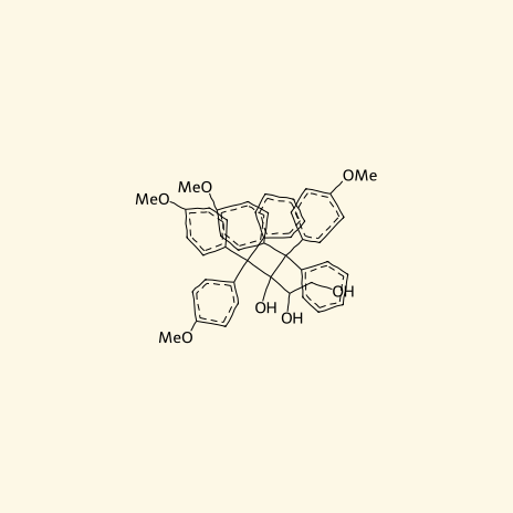 COc1ccc(C(c2ccccc2)(c2ccc(OC)cc2)C(O)(C(O)CO)C(c2ccccc2)(c2ccc(OC)cc2)c2ccc(OC)cc2)cc1